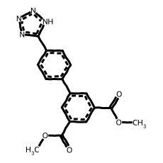 COC(=O)c1cc(C(=O)OC)cc(-c2ccc(-c3nnn[nH]3)cc2)c1